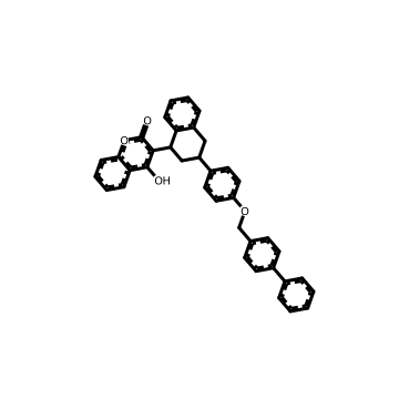 O=c1oc2ccccc2c(O)c1C1CC(c2ccc(OCc3ccc(-c4ccccc4)cc3)cc2)Cc2ccccc21